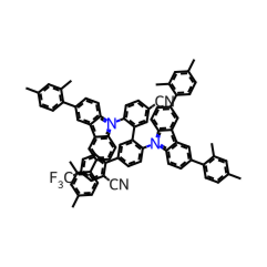 Cc1ccc(-c2ccc3c(c2)c2cc(-c4ccc(C)cc4C)ccc2n3-c2ccc(C#N)cc2-c2cc(-c3ccc(C(F)(F)F)cc3C#N)ccc2-n2c3ccc(-c4ccc(C)cc4C)cc3c3cc(-c4ccc(C)cc4C)ccc32)c(C)c1